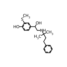 CSc1cc(C(O)CNC(C)(C)CCc2ccccc2)ccc1O